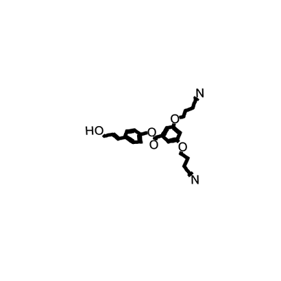 N#CCCCOc1cc(OCCCC#N)cc(C(=O)Oc2ccc(/C=C/CO)cc2)c1